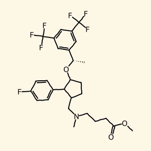 COC(=O)CCCN(C)CC1CCC(O[C@@H](C)c2cc(C(F)(F)F)cc(C(F)(F)F)c2)C1c1ccc(F)cc1